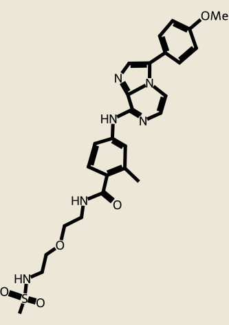 COc1ccc(-c2cnc3c(Nc4ccc(C(=O)NCCOCCNS(C)(=O)=O)c(C)c4)nccn23)cc1